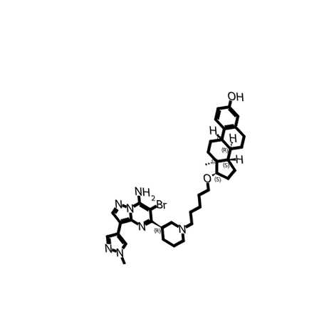 Cn1cc(-c2cnn3c(N)c(Br)c([C@@H]4CCCN(CCCCCO[C@H]5CC[C@H]6[C@@H]7CCc8cc(O)ccc8[C@H]7CC[C@]56C)C4)nc23)cn1